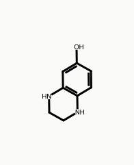 Oc1ccc2c(c1)NCCN2